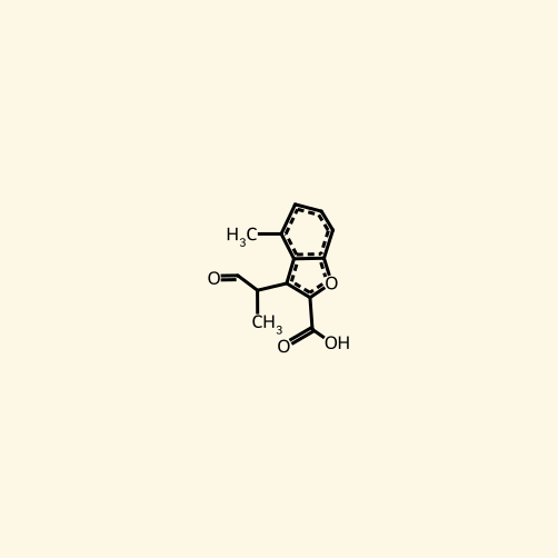 Cc1cccc2oc(C(=O)O)c(C(C)C=O)c12